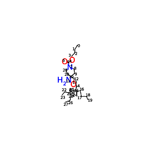 CCCCOC(=O)N1CCC(N)(CO[CH2][Sn]([CH2]CCC)([CH2]CCC)[CH2]CCC)CC1